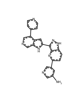 Nc1cncc(-c2ccc3[nH]nc(-c4cc5c(-c6ccncc6)cncc5[nH]4)c3n2)c1